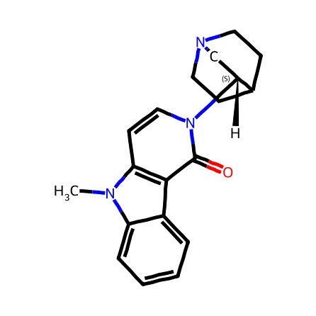 Cn1c2ccccc2c2c(=O)n([C@@H]3CN4CCC3CC4)ccc21